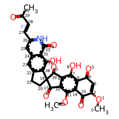 COC1=CC(=O)c2c(O)c3c(c(OC)c2C1=O)C(=O)C1(CCc2cc4cc(/C=C/C(C)=O)[nH]c(=O)c4c(O)c21)C3=O